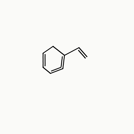 C=CC1=C=CC=CC1